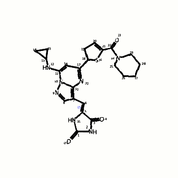 O=C1NC(=O)/C(=C/c2cnn3c(NC4CC4)cc(C4CC=C(C(=O)N5CCCCC5)S4)nc23)N1